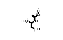 O=CCC(NC(=S)NO)C(=O)O